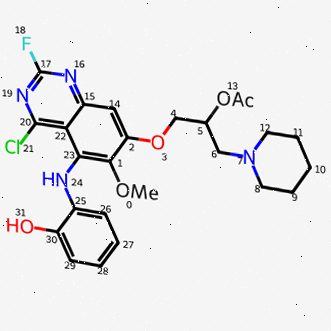 COc1c(OCC(CN2CCCCC2)OC(C)=O)cc2nc(F)nc(Cl)c2c1Nc1ccccc1O